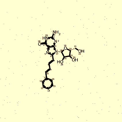 Nc1nc2c(nc(C=CC=Cc3ccccc3)n2[C@@H]2O[C@H](CO)C(O)C2O)c(=O)[nH]1